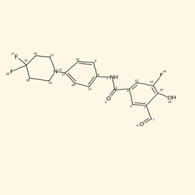 O=Cc1cc(C(=O)Nc2ccc(N3CCC(F)(F)CC3)cc2)cc(F)c1O